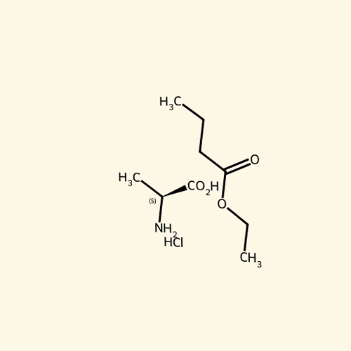 CCCC(=O)OCC.C[C@H](N)C(=O)O.Cl